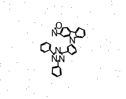 c1ccc(-c2nc(-c3ccccc3)nc(-c3cccc(-n4c5ccccc5c5cc6ocnc6cc54)c3)n2)cc1